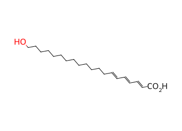 O=C(O)/C=C/C=C/C=C/CCCCCCCCCCCCCO